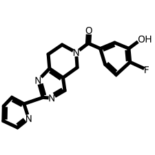 O=C(c1ccc(F)c(O)c1)N1CCc2nc(-c3ccccn3)ncc2C1